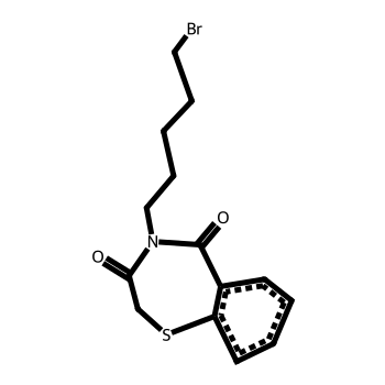 O=C1CSc2ccccc2C(=O)N1CCCCCBr